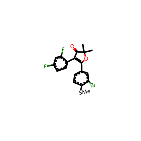 CSc1ccc(C2=C(c3ccc(F)cc3F)C(=O)C(C)(C)O2)cc1Br